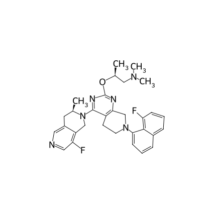 C[C@@H]1Cc2cncc(F)c2CN1c1nc(O[C@@H](C)CN(C)C)nc2c1CCN(c1cccc3cccc(F)c13)C2